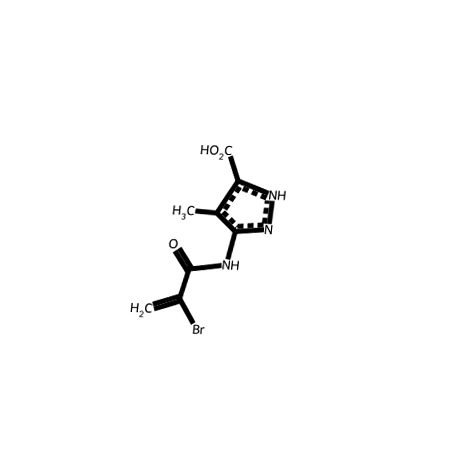 C=C(Br)C(=O)Nc1n[nH]c(C(=O)O)c1C